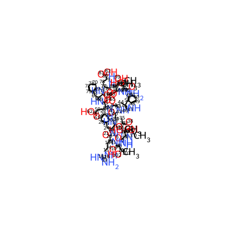 CC(=O)N[C@H](C(=O)N[C@H](C(=O)N[C@@H](CCCNC(=N)N)C(=O)N[C@@H](Cc1ccccc1)C(=O)N[C@@H](CCC(=O)O)C(=O)N[C@@H](Cc1c[nH]c2ccccc12)C(=O)N[C@@H](CCC(=O)O)C(=O)N[C@@H](Cc1ccccc1)C(=O)N[C@@H](CCC(=O)O)C(=O)N[C@H](C(=O)N[C@H](C(N)=O)[C@@H](C)O)[C@@H](C)O)[C@@H](C)O)[C@@H](C)O